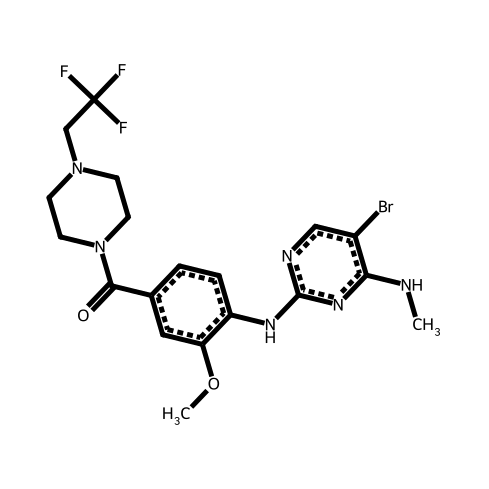 CNc1nc(Nc2ccc(C(=O)N3CCN(CC(F)(F)F)CC3)cc2OC)ncc1Br